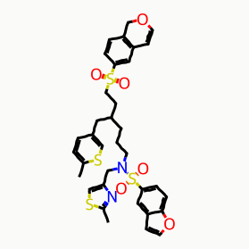 CC1=C=CC(CC(CCCN(Cc2csc(C)n2)S(=O)(=O)c2ccc3occc3c2)CCS(=O)(=O)c2ccc3c(c2)C=COC3)=CS1